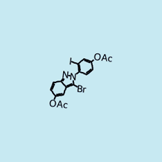 CC(=O)Oc1ccc(-n2nc3ccc(OC(C)=O)cc3c2Br)c(I)c1